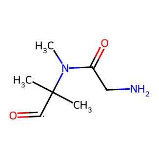 CN(C(=O)CN)C(C)(C)[C]=O